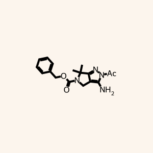 CC(=O)n1nc2c(c1N)CN(C(=O)OCc1ccccc1)C2(C)C